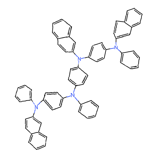 c1ccc(N(c2ccc(N(c3ccccc3)c3ccc4ccccc4c3)cc2)c2ccc(N(c3ccc(N(c4ccccc4)c4ccc5ccccc5c4)cc3)c3ccc4ccccc4c3)cc2)cc1